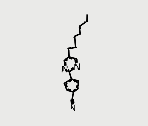 CCCCCCCc1cnc(-c2ccc(C#N)cc2)nc1